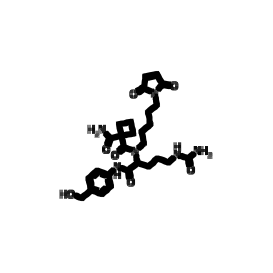 NC(=O)NCCCC(C(=O)Nc1ccc(CO)cc1)N(CCCCCN1C(=O)C=CC1=O)C(=O)C1(C(N)=O)CCC1